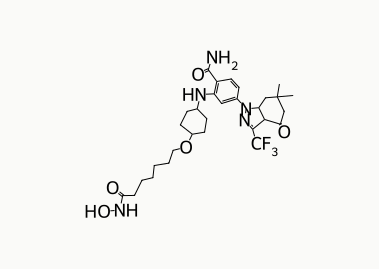 CC1(C)CC(=O)C2C(C(F)(F)F)=NN(c3ccc(C(N)=O)c(NC4CCC(OCCCCCCC(=O)NO)CC4)c3)C2C1